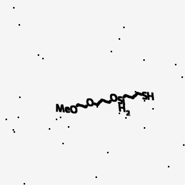 COCCOCCCO[SiH2]CCCS